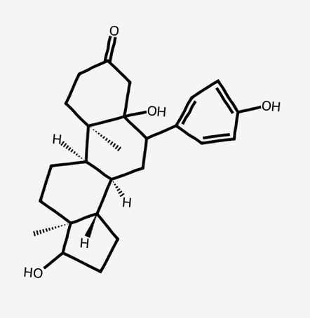 C[C@]12CC[C@@H]3[C@@H](CC(c4ccc(O)cc4)C4(O)CC(=O)CC[C@]34C)[C@@H]1CCC2O